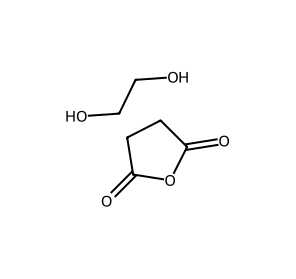 O=C1CCC(=O)O1.OCCO